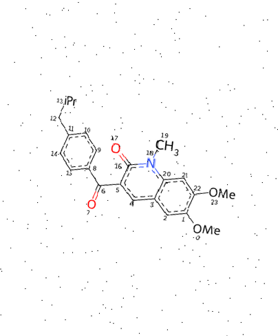 COc1cc2cc(C(=O)c3ccc(CC(C)C)cc3)c(=O)n(C)c2cc1OC